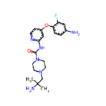 CC(C)(N)CN1CCN(C(=O)Nc2cc(Oc3ccc(N)cc3F)ccn2)CC1